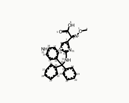 CON=C(C(=O)O)c1csc(NC(c2ccccc2)(c2ccccc2)c2ccccc2)n1.N